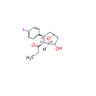 CCC(=O)[C@H]1[C@@H](c2ccc(I)cc2)CC2CC(O)[C@@H]1O2